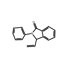 C=CC1c2ccccc2C(=O)N1c1ccccc1